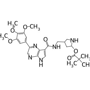 COc1cc(-c2cnc3[nH]cc(C(=O)NCC4CNC(OC(=O)C(C)(C)C)C4)c3n2)cc(OC)c1OC